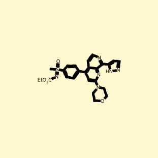 CCOC(=O)N=S(C)(=O)c1ccc(-c2cc(N3CCOCC3)nc3c(-c4ccn[nH]4)nccc23)cc1